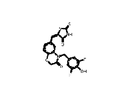 O=C1NC(=S)SC1=Cc1ccc2c(c1)N(Cc1cc(F)c(O)c(F)c1)C(=O)CO2